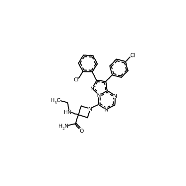 CCNC1(C(N)=O)CN(c2ncnc3c(-c4ccc(Cl)cc4)c(-c4ccccc4Cl)nn23)C1